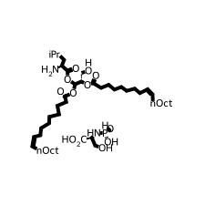 CCCCCCCC/C=C\CCCCCCCC(=O)OC(OC(=O)[C@@H](N)CC(C)C)[C@H](CO)OC(=O)CCCCCCC/C=C\CCCCCCCC.O=C(O)[C@H](CO)N[PH](=O)O